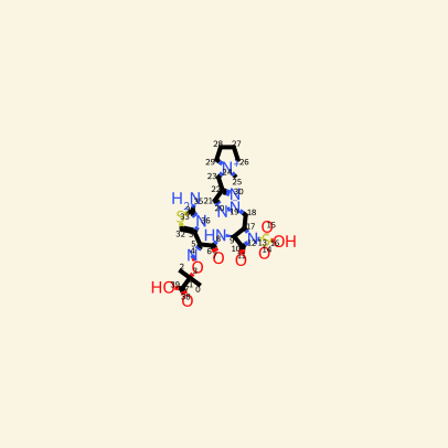 CC(C)(O/N=C(\C(=O)N[C@@H]1C(=O)N(S(=O)(=O)O)C1Cn1ncc(C[N+]2(C)CCCC2)n1)c1csc(N)n1)C(=O)O